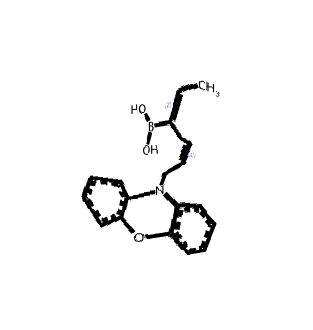 C/C=C(\C=C/CN1c2ccccc2Oc2ccccc21)B(O)O